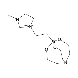 CN1C=[N+](CC[Si]23OCCN(CCO2)CCO3)CC1